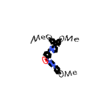 COc1ccc(N2CCN(C(=O)c3ccc(CN4CCCC(c5ccc(OC)cc5)(c5ccc(OC)cc5)C4)cc3)CC2)cc1